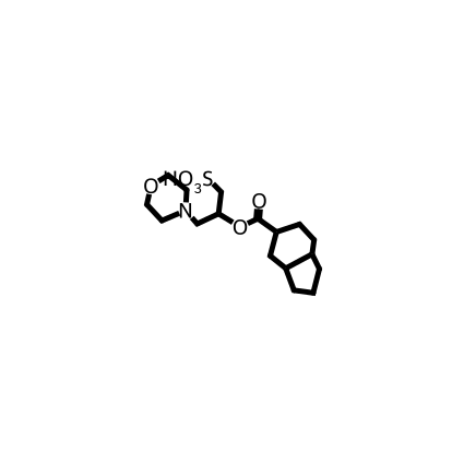 O=C(OC(CN1CCOCC1)CS(=O)(=O)O)C1CCC2CCCC2C1